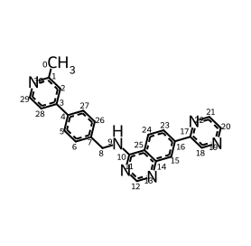 Cc1cc(-c2ccc(CNc3ncnc4cc(-c5cnccn5)ccc34)cc2)ccn1